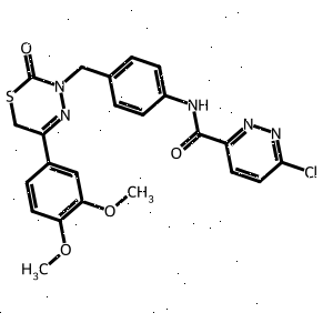 COc1ccc(C2=NN(Cc3ccc(NC(=O)c4ccc(Cl)nn4)cc3)C(=O)SC2)cc1OC